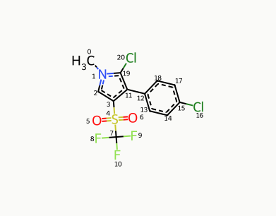 Cn1cc(S(=O)(=O)C(F)(F)F)c(-c2ccc(Cl)cc2)c1Cl